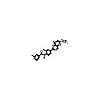 Cc1cc(C(=O)Nc2ccc(-c3ncc4nc(OC(F)(F)F)cc(C)c4n3)cc2C)ccn1